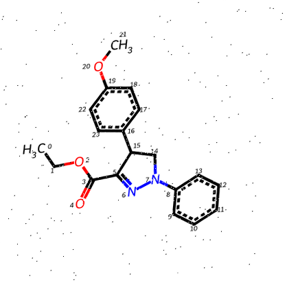 CCOC(=O)C1=NN(c2ccccc2)CC1c1ccc(OC)cc1